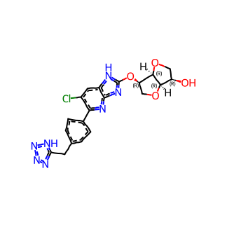 O[C@@H]1CO[C@H]2[C@@H]1OC[C@H]2Oc1nc2nc(-c3ccc(Cc4nnn[nH]4)cc3)c(Cl)cc2[nH]1